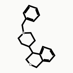 c1ccc(CN2CCC(C3COCc4ccccc43)CC2)cc1